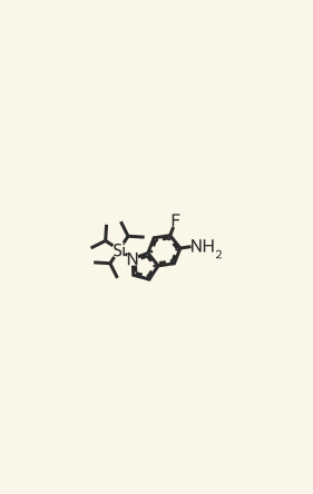 CC(C)[Si](C(C)C)(C(C)C)n1ccc2cc(N)c(F)cc21